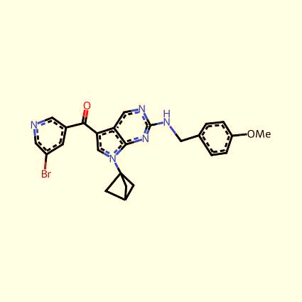 COc1ccc(CNc2ncc3c(C(=O)c4cncc(Br)c4)cn(C45CC(C4)C5)c3n2)cc1